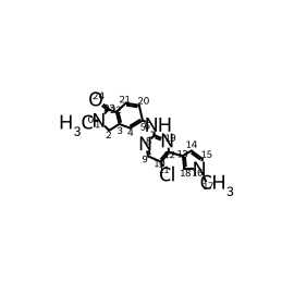 CN1Cc2cc(Nc3ncc(Cl)c(-c4ccn(C)c4)n3)ccc2C1=O